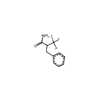 NC(=O)C(Cc1ccccc1)C(F)(F)F